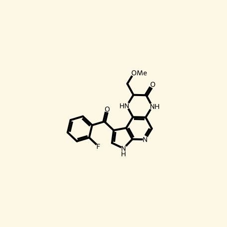 COCC1Nc2c(cnc3[nH]cc(C(=O)c4ccccc4F)c23)NC1=O